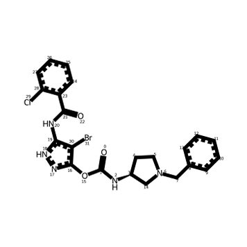 O=C(N[C@H]1CCN(Cc2ccccc2)C1)Oc1n[nH]c(NC(=O)c2ccccc2Cl)c1Br